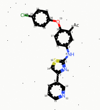 CC(=O)c1cc(Nc2nc(-c3cccnc3)cs2)ccc1Oc1ccc(Cl)cc1